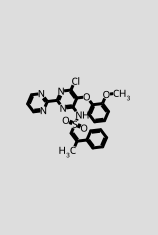 COc1ccccc1Oc1c(Cl)nc(-c2ncccn2)nc1NS(=O)(=O)/C=C(/C)c1ccccc1